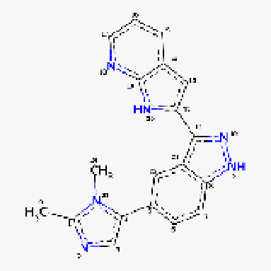 Cc1ncc(-c2ccc3[nH]nc(-c4cc5cccnc5[nH]4)c3c2)n1C